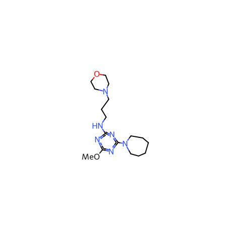 COc1nc(NCCCN2CCOCC2)nc(N2CCCCCC2)n1